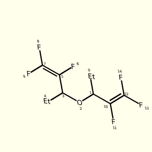 CCC(OC(CC)C(F)=C(F)F)C(F)=C(F)F